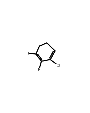 FC1=C(I)CCC=C1Cl